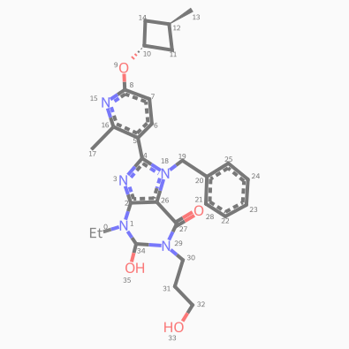 CCN1c2nc(-c3ccc(O[C@H]4C[C@H](C)C4)nc3C)n(Cc3ccccc3)c2C(=O)N(CCCO)C1O